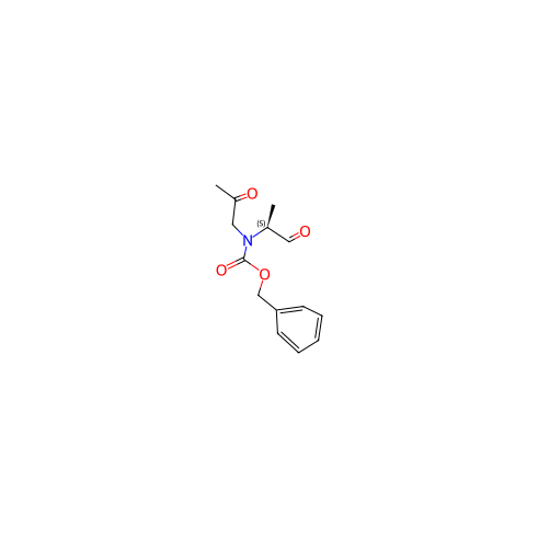 CC(=O)CN(C(=O)OCc1ccccc1)[C@@H](C)C=O